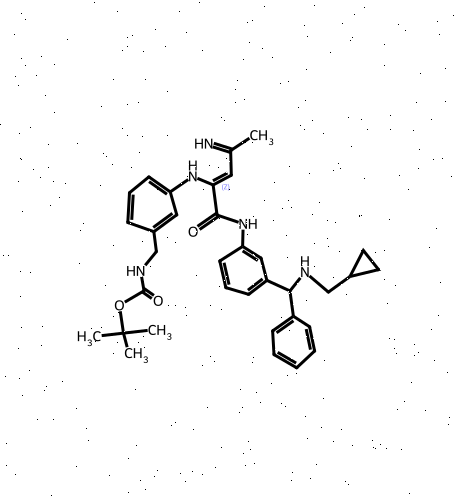 CC(=N)/C=C(\Nc1cccc(CNC(=O)OC(C)(C)C)c1)C(=O)Nc1cccc(C(NCC2CC2)c2ccccc2)c1